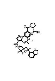 C=C(NCC1(C(F)(F)F)CC(C)(c2cccc3c2OCC3)O1)c1cnn(-c2cccc(C(=O)N3CCC[C@@H]3C(N)=O)c2)c1/N=C(/C)N